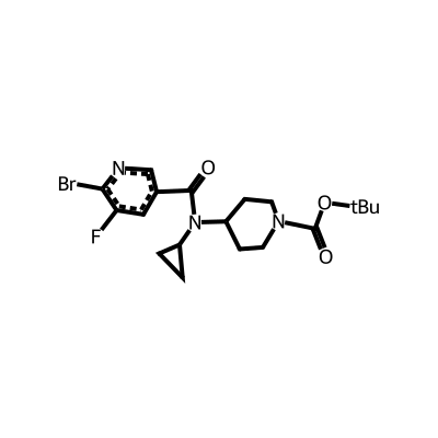 CC(C)(C)OC(=O)N1CCC(N(C(=O)c2cnc(Br)c(F)c2)C2CC2)CC1